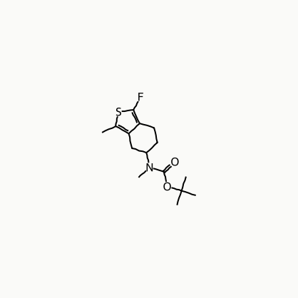 Cc1sc(F)c2c1CC(N(C)C(=O)OC(C)(C)C)CC2